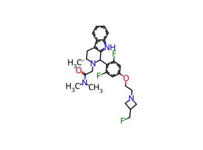 C[C@@H]1Cc2c([nH]c3ccccc23)C(c2c(F)cc(OCCN3CC(CF)C3)cc2F)N1CC(=O)N(C)C